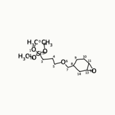 CO[Si](CCCOCC1CCC2OC2C1)(OC)OC